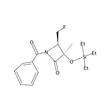 CC[Si](CC)(CC)O[C@@]1(C)C(=O)N(C(=O)c2ccccc2)[C@H]1CF